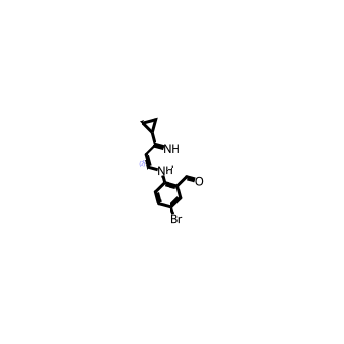 N=C(/C=C\Nc1ccc(Br)cc1C=O)C1CC1